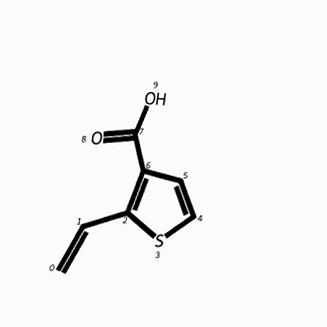 C=Cc1sccc1C(=O)O